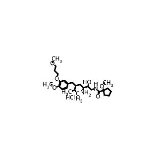 COCCCOc1cc(CC(CC(N)C(O)CNC(=O)C2(OC)CCCC2)C(C)C)ccc1OC.Cl